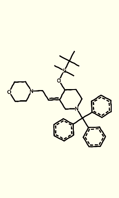 CC(C)(C)[Si](C)(C)OC1CCN(C(c2ccccc2)(c2ccccc2)c2ccccc2)CC1=CCN1CCOCC1